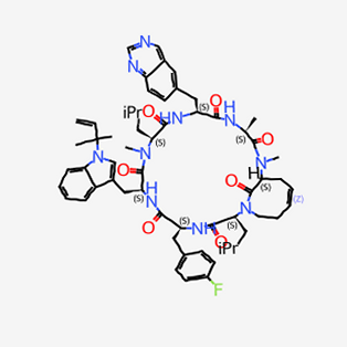 C=CC(C)(C)n1cc(C[C@@H]2NC(=O)[C@H](Cc3ccc(F)cc3)NC(=O)[C@H](CC(C)C)N3CC/C=C\C[C@@H](C3=O)N(C)C(=O)[C@H](C)NC(=O)[C@H](Cc3ccc4ncncc4c3)NC(=O)[C@H](CC(C)C)N(C)C2=O)c2ccccc21